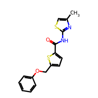 Cc1csc(NC(=O)c2ccc(COc3ccccc3)s2)n1